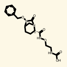 O=C(O)NCCONC(=O)[C@@H]1CCC2CN1C(=O)N2OCc1ccccc1